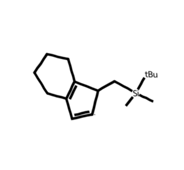 CC(C)(C)[Si](C)(C)CC1[C]=CC2=C1CCCC2